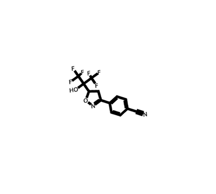 N#Cc1ccc(C2=NOC(C(O)(C(F)(F)F)C(F)(F)F)C2)cc1